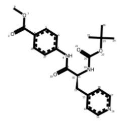 COC(=O)c1ccc(NC(=O)[C@H](Cc2ccncc2)NC(=O)OC(C)(C)C)cc1